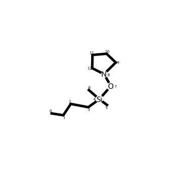 CCCC[Si](C)(C)ON1CCCC1